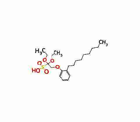 CCCCCCCCCc1ccccc1OCC(OCC)(OCC)S(=O)(=O)O